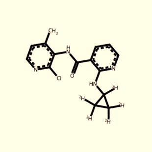 [2H]C1([2H])C([2H])([2H])C1([2H])Nc1ncccc1C(=O)Nc1c(C)ccnc1Cl